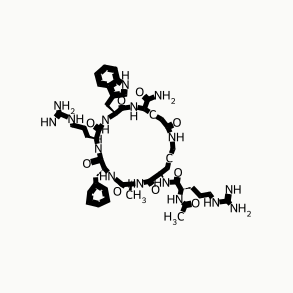 CC(=O)N[C@@H](CCCNC(=N)N)C(=O)N[C@H]1CCCNC(=O)CCC(C(N)=O)NC(=O)[C@H](Cc2c[nH]c3ccccc23)NC(=O)[C@H](CCCNC(=N)N)NC(=O)[C@@H](Cc2ccccc2)NC(=O)[C@H](C)NC1=O